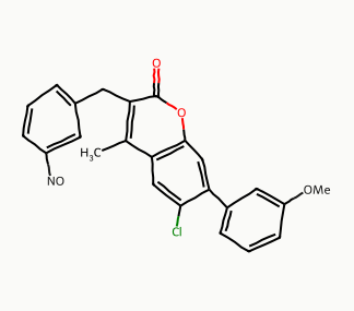 COc1cccc(-c2cc3oc(=O)c(Cc4cccc(N=O)c4)c(C)c3cc2Cl)c1